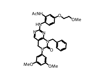 COCCOc1ccc(Nc2ncc3c(n2)N(Cc2ccccc2)C(=O)N(c2cc(OC)cc(OC)c2)C3)c(NC(C)=O)c1